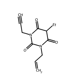 C#CCN1C(=O)C(CC)C(=O)N(CC=C)C1=O